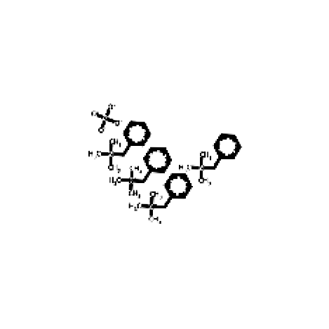 C[N+](C)(C)Cc1ccccc1.C[N+](C)(C)Cc1ccccc1.C[N+](C)(C)Cc1ccccc1.C[N+](C)(C)Cc1ccccc1.[O-][Si]([O-])([O-])[O-]